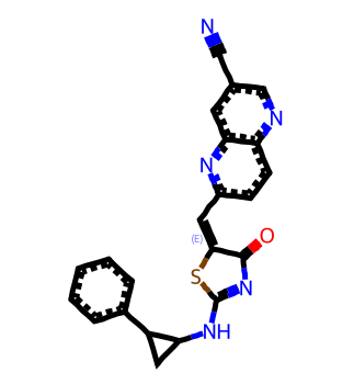 N#Cc1cnc2ccc(/C=C3/SC(NC4CC4c4ccccc4)=NC3=O)nc2c1